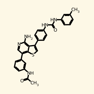 CC(=O)Nc1cccc(-c2cnc(N)c3c(-c4ccc(NC(=O)Nc5cccc(C)c5)cc4)csc23)c1